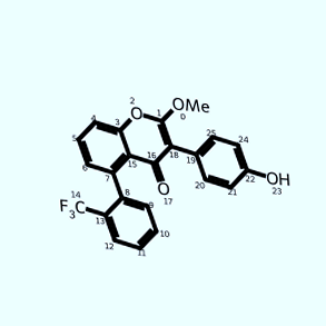 COc1oc2cccc(-c3ccccc3C(F)(F)F)c2c(=O)c1-c1ccc(O)cc1